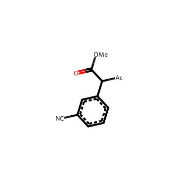 COC(=O)C(C(C)=O)c1cccc(C#N)c1